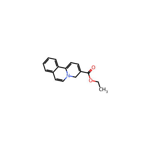 CCOC(=O)C1=CC=C2c3ccccc3C=CN2C1